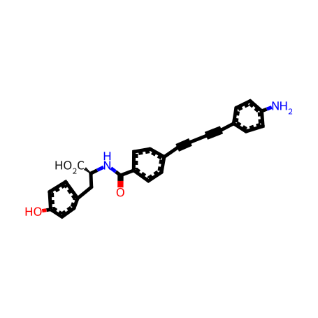 Nc1ccc(C#CC#Cc2ccc(C(=O)N[C@@H](Cc3ccc(O)cc3)C(=O)O)cc2)cc1